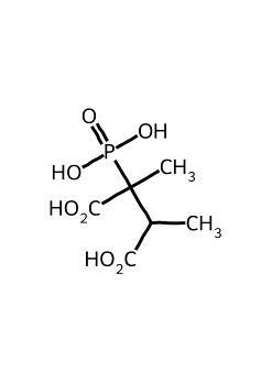 CC(C(=O)O)C(C)(C(=O)O)P(=O)(O)O